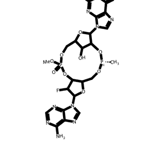 COP1(=O)OCC2OC(n3cnc4c(=O)[nH]c(N)nc43)C(O[P@](C)OCC3OC(n4cnc5c(N)ncnc54)C(F)C3O1)C2O